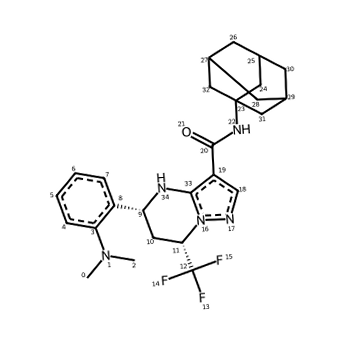 CN(C)c1ccccc1[C@H]1C[C@@H](C(F)(F)F)n2ncc(C(=O)NC34CC5CC(CC(C5)C3)C4)c2N1